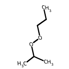 CCCOOC(C)C